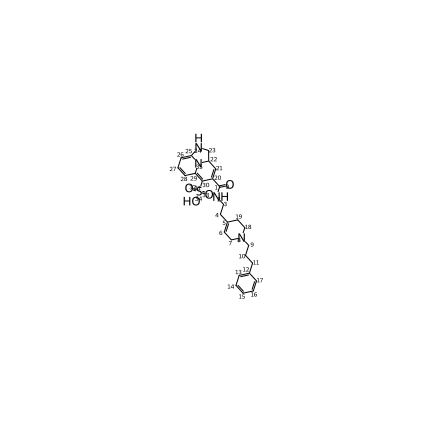 O=C(NCCC1=CCN(CCCc2ccccc2)CC1)C1=CC2CNC3=CC=CC(=C1S(=O)(=O)O)N32